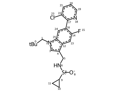 CC(C)(C)Cn1cc(CN[S+]([O-])C2CC2)c2cc(F)c(-c3ncccc3Cl)cc21